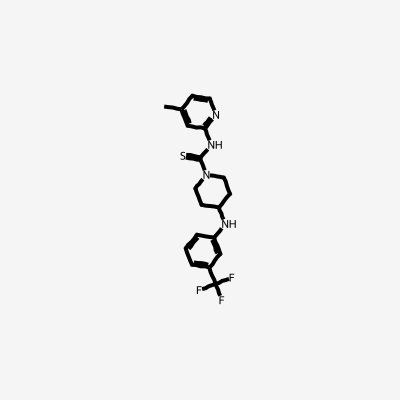 Cc1ccnc(NC(=S)N2CCC(Nc3cccc(C(F)(F)F)c3)CC2)c1